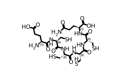 NC(=O)CC[C@H](NC(=O)[C@H](CS)NC(=O)[C@H](CS)NC(=O)[C@H](CS)NC(=O)[C@H](CS)NC(=O)[C@@H](N)CCC(=O)O)C(=O)O